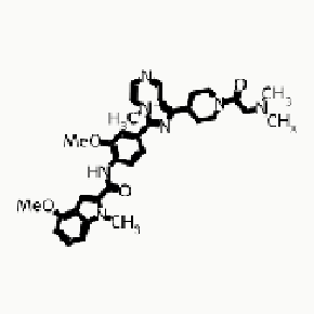 COc1cc(C2=NC(C3CCN(C(=O)CN(C)C)CC3)=C3C=NC=C[N+]23C)ccc1NC(=O)c1cc2c(OC)cccc2n1C